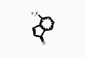 Cc1cccc2c1C=CC2=O